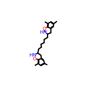 Cc1cc(C)c2c(c1)CC(CCCCCCC1Cc3cc(C)cc(C)c3ON1)NO2